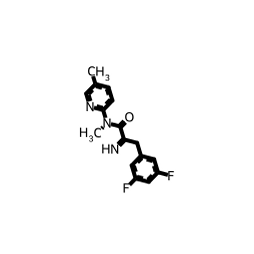 Cc1ccc(N(C)C(=O)C(=N)Cc2cc(F)cc(F)c2)nc1